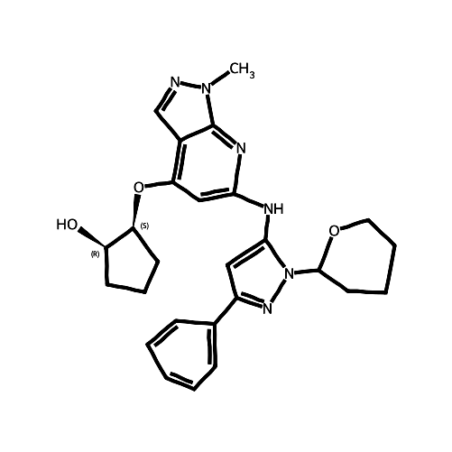 Cn1ncc2c(O[C@H]3CCC[C@H]3O)cc(Nc3cc(-c4ccccc4)nn3C3CCCCO3)nc21